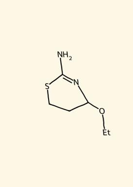 CCOC1CCSC(N)=N1